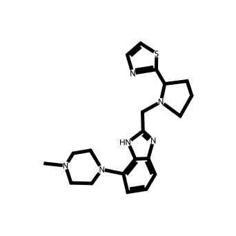 CN1CCN(c2cccc3nc(CN4CCCC4c4nccs4)[nH]c23)CC1